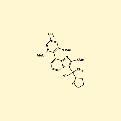 CCC[N+](C)(c1c(SC)nc2c(-c3c(OC)cc(C)cc3OC)cccn12)C1CCCO1